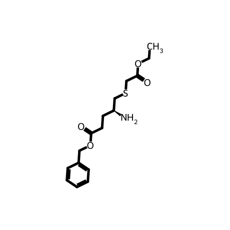 CCOC(=O)CSC[C@@H](N)CCC(=O)OCc1ccccc1